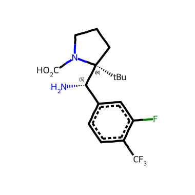 CC(C)(C)[C@@]1([C@@H](N)c2ccc(C(F)(F)F)c(F)c2)CCCN1C(=O)O